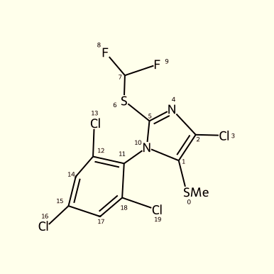 CSc1c(Cl)nc(SC(F)F)n1-c1c(Cl)cc(Cl)cc1Cl